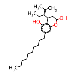 CCCCCCCCCCc1cc(O)c2c(c1)OC(O)CC2C(CC)=C(C)C